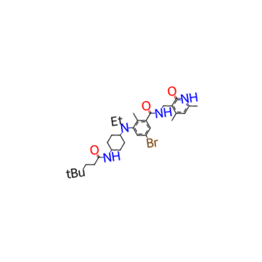 CCN(c1cc(Br)cc(C(=O)NCc2c(C)cc(C)[nH]c2=O)c1C)C1CCC(NC(=O)CCC(C)(C)C)CC1